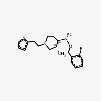 CC(=O)N(OCc1ccccc1F)[C@@H]1CCN(CCc2cccs2)C[C@H]1C